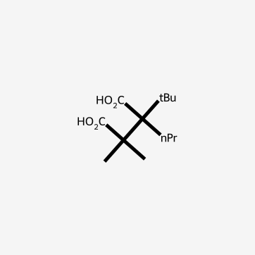 CCCC(C(=O)O)(C(C)(C)C)C(C)(C)C(=O)O